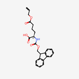 C=CCOC(=O)CCC[C@@H](NC(=O)OCC1c2ccccc2-c2ccccc21)C(=O)O